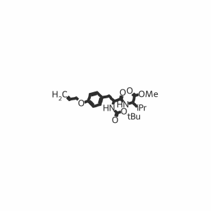 C=CCOc1ccc(CC(NC(=O)OC(C)(C)C)C(=O)NC(C(=O)OC)C(C)C)cc1